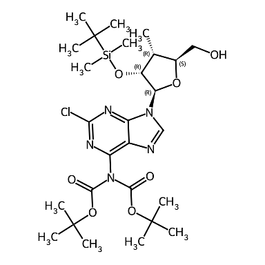 C[C@H]1[C@@H](O[Si](C)(C)C(C)(C)C)[C@H](n2cnc3c(N(C(=O)OC(C)(C)C)C(=O)OC(C)(C)C)nc(Cl)nc32)O[C@@H]1CO